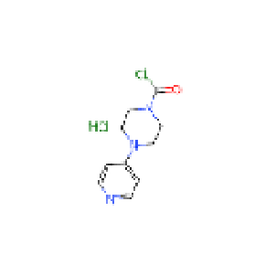 Cl.O=C(Cl)N1CCN(c2ccncc2)CC1